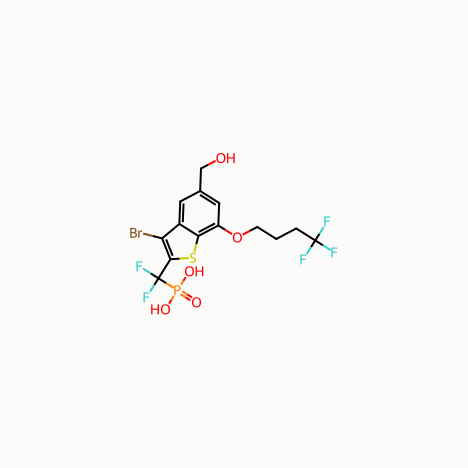 O=P(O)(O)C(F)(F)c1sc2c(OCCCC(F)(F)F)cc(CO)cc2c1Br